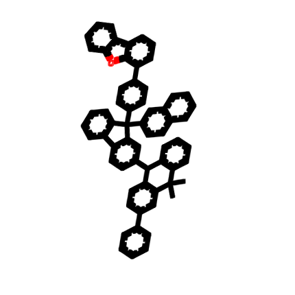 CC1(C)c2ccccc2C(c2ccc3c(c2)C(c2ccc(-c4cccc5c4oc4ccccc45)cc2)(c2ccc4ccccc4c2)c2ccccc2-3)c2ccc(-c3ccccc3)cc21